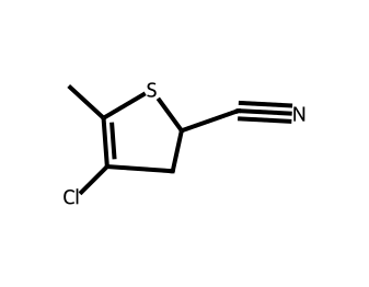 CC1=C(Cl)CC(C#N)S1